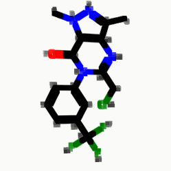 Cc1nn(C)c2c(=O)n(-c3cccc(C(F)(F)F)c3)c(CCl)nc12